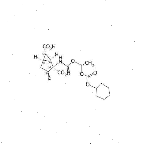 CC(OC(=O)N[C@]1(C(=O)O)[C@H]2[C@@H](C[C@@H]1F)[C@@H]2C(=O)O)OC(=O)OC1CCCCC1